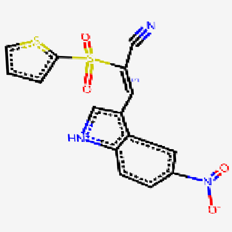 N#C/C(=C/c1c[nH]c2ccc([N+](=O)[O-])cc12)S(=O)(=O)c1cccs1